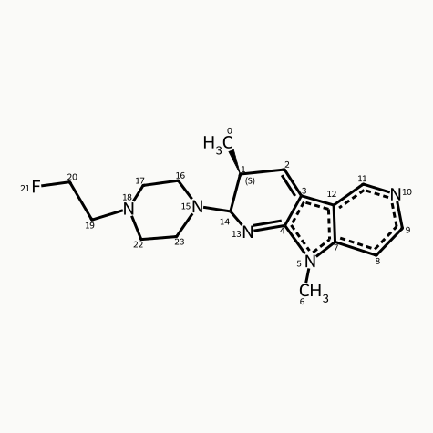 C[C@H]1C=c2c(n(C)c3ccncc23)=NC1N1CCN(CCF)CC1